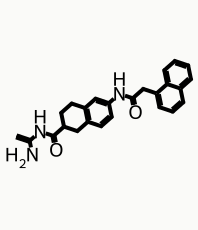 C=C(N)NC(=O)C1CCc2cc(NC(=O)Cc3cccc4ccccc34)ccc2C1